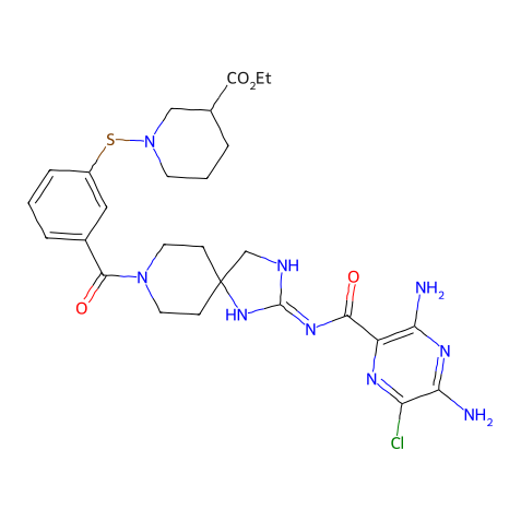 CCOC(=O)C1CCCN(Sc2cccc(C(=O)N3CCC4(CC3)CN/C(=N\C(=O)c3nc(Cl)c(N)nc3N)N4)c2)C1